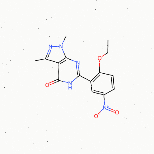 CCOc1ccc([N+](=O)[O-])cc1-c1nc2c(c(C)nn2C)c(=O)[nH]1